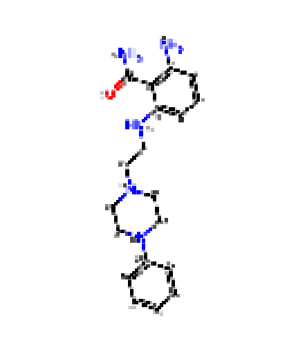 NC(=O)c1c(N)cccc1NCCN1CCN(c2ccccc2)CC1